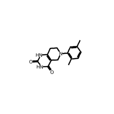 Cc1ccc(C)c(N2CCc3[nH]c(=O)[nH]c(=O)c3C2)c1